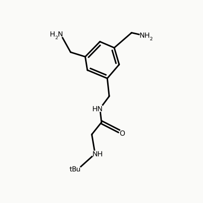 CC(C)(C)NCC(=O)NCc1cc(CN)cc(CN)c1